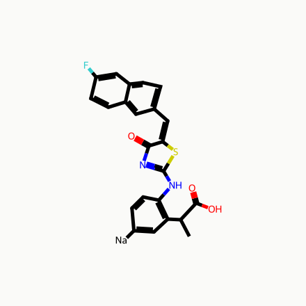 CC(C(=O)O)c1c[c]([Na])ccc1NC1=NC(=O)C(=Cc2ccc3cc(F)ccc3c2)S1